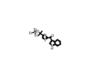 CC[Si](CC)(CC)OC(C)(C)c1csc(C(=O)c2c[nH]c3ccccc23)n1